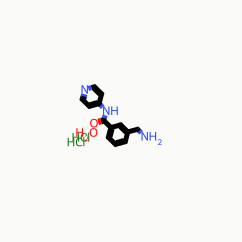 Cl.Cl.NCc1cccc(C(=O)Nc2ccncc2)c1.O